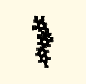 C=Cc1c(F)cc(OC(F)(F)c2c(F)cc(-c3ccc4c(c3)CC(C)C4)cc2F)cc1F